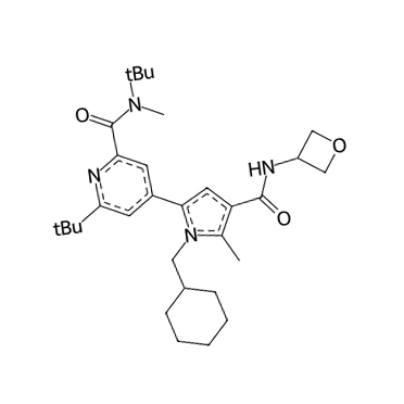 Cc1c(C(=O)NC2COC2)cc(-c2cc(C(=O)N(C)C(C)(C)C)nc(C(C)(C)C)c2)n1CC1CCCCC1